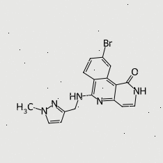 Cn1ccc(CNc2nc3cc[nH]c(=O)c3c3cc(Br)ccc23)n1